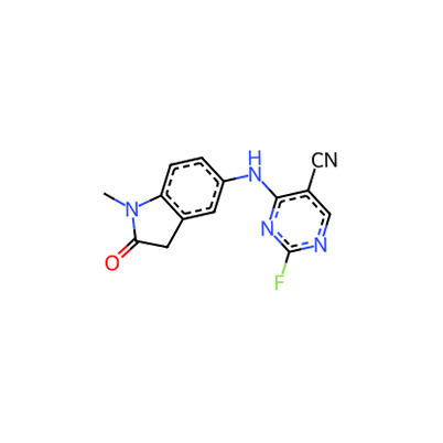 CN1C(=O)Cc2cc(Nc3nc(F)ncc3C#N)ccc21